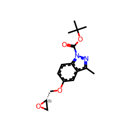 Cc1nn(C(=O)OC(C)(C)C)c2ccc(OC[C@@H]3CO3)cc12